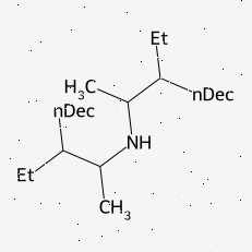 CCCCCCCCCCC(CC)C(C)NC(C)C(CC)CCCCCCCCCC